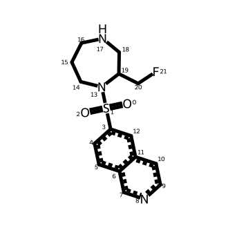 O=S(=O)(c1ccc2cnccc2c1)N1CCCNCC1CF